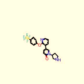 O=c1ccc(-c2cccnc2Oc2ccc(S(F)(F)(F)(F)F)cc2)cn1C1CCNC1